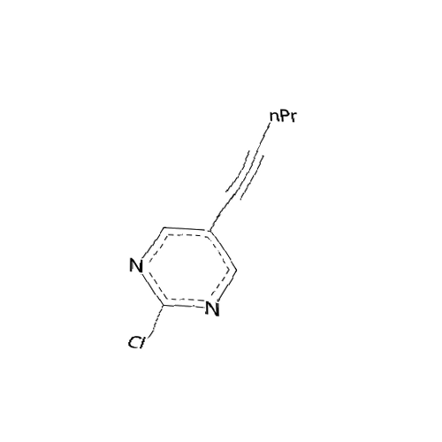 CCCC#Cc1cnc(Cl)nc1